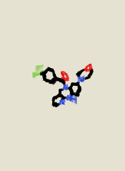 O=C(C1CCC(F)(F)CC1)N1Cc2cccnc2Nc2ccc(N3CCOCC3)cc21